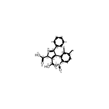 Cc1ccc([N+](=O)[O-])c(C2=C(C(=O)O)C(C(=O)O)N=C2c2ccccc2)c1C